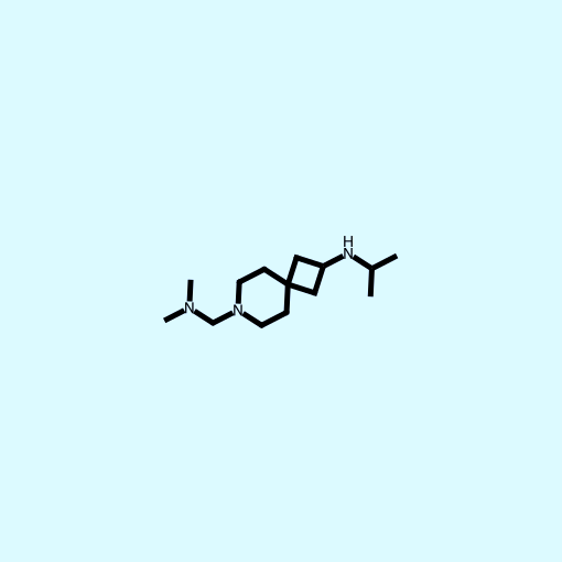 CC(C)NC1CC2(CCN(CN(C)C)CC2)C1